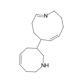 C1=C\C(C2C/C=C\CCNC2)CC/C=N/CCC/1